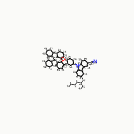 CCCCC(CC)Cc1ccc2c(c1)c1cc(C#N)ccc1n2-c1ccc2oc3c([Si](c4ccccc4)(c4ccccc4)c4ccccc4)cccc3c2c1